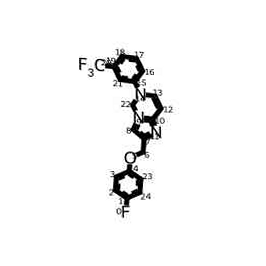 Fc1ccc(OCc2cn3c(n2)C=CN(c2cccc(C(F)(F)F)c2)C3)cc1